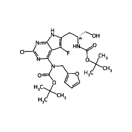 CC(C)(C)OC(=O)N[C@@H](CO)Cc1[nH]c2nc(Cl)nc(N(Cc3ccco3)C(=O)OC(C)(C)C)c2c1F